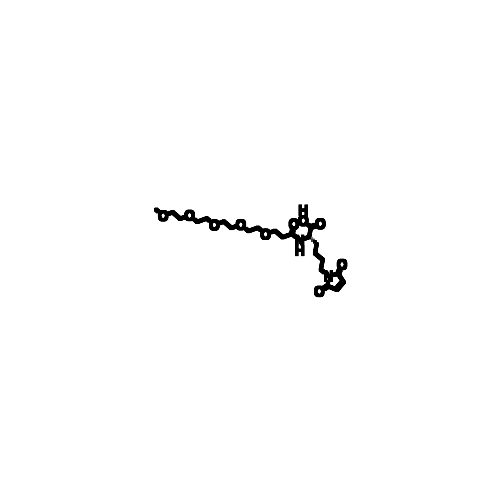 COCCOCCOCCOCCOCCC(=O)N[C@@H](CCCCN1C(=O)C=CC1=O)C(=O)O